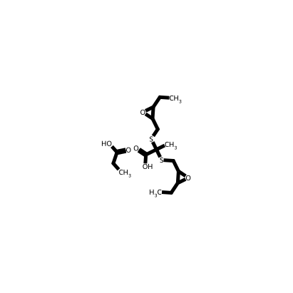 CCC(=O)O.CCC1OC1CSC(C)(SCC1OC1CC)C(=O)O